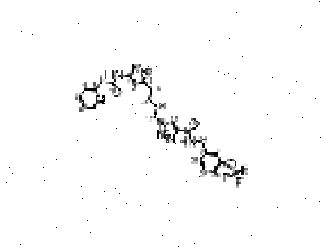 O=C(Cc1ccccn1)Nc1nnc(CCCCn2cc(C(=O)NCc3cccc(OC(F)(F)F)c3)nn2)s1